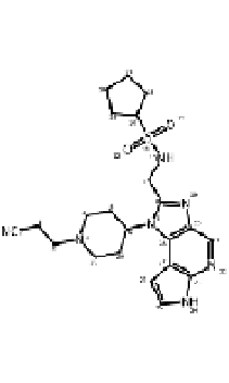 N#CCCN1CCC(n2c(CNS(=O)(=O)C3CCCC3)nc3cnc4[nH]ccc4c32)CC1